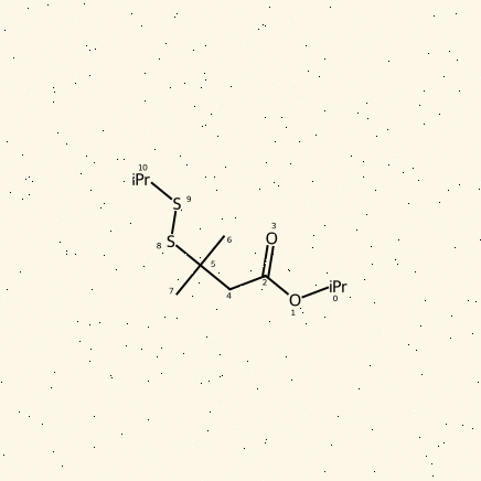 CC(C)OC(=O)CC(C)(C)SSC(C)C